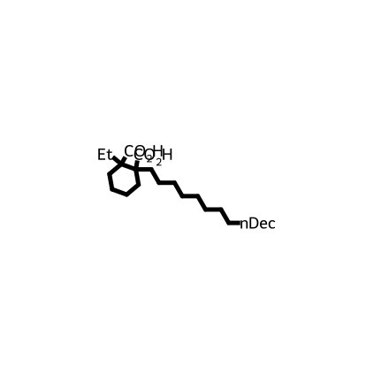 CCCCCCCCCCCCCCCCCCC1(C(=O)O)CCCCC1(CC)C(=O)O